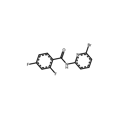 O=C(Nc1cccc(Br)n1)c1ccc(F)cc1F